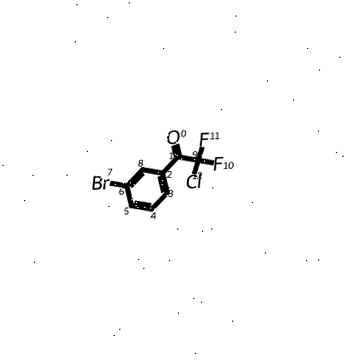 O=C(c1cccc(Br)c1)C(F)(F)Cl